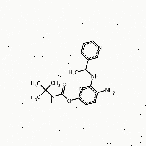 CC(Nc1nc(OC(=O)NC(C)(C)C)ccc1N)c1cccnc1